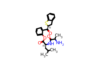 CC(C)C[C@H](NC(=O)C(C)N)C(=O)Oc1ccccc1C(=O)[C@@H]1Cc2ccccc2S1